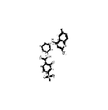 Cc1ccc2nc(C(F)(F)F)cc(N[C@H]3CCC[C@@H](NC(=O)c4ccc(S(C)(=O)=O)cc4Cl)C3)c2c1